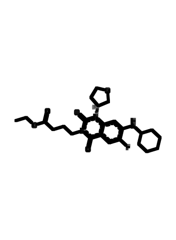 CCOC(=O)CCCn1c(=O)c2cc(F)c(NC3CCCCC3)cc2n([C@@H]2CCOC2)c1=O